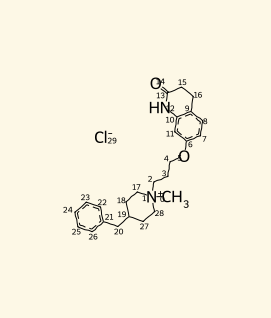 C[N+]1(CCCOc2ccc3c(c2)NC(=O)CC3)CCC(Cc2ccccc2)CC1.[Cl-]